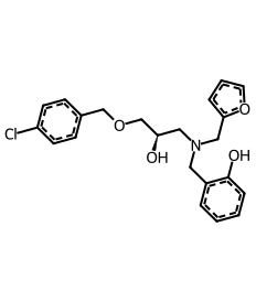 Oc1ccccc1CN(Cc1ccco1)C[C@@H](O)COCc1ccc(Cl)cc1